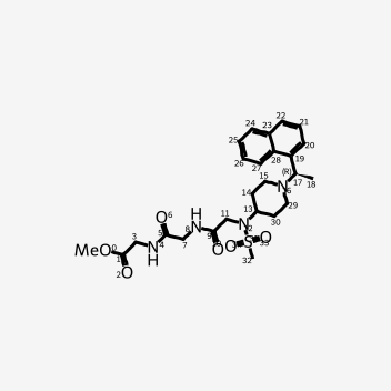 COC(=O)CNC(=O)CNC(=O)CN(C1CCN([C@H](C)c2cccc3ccccc23)CC1)S(C)(=O)=O